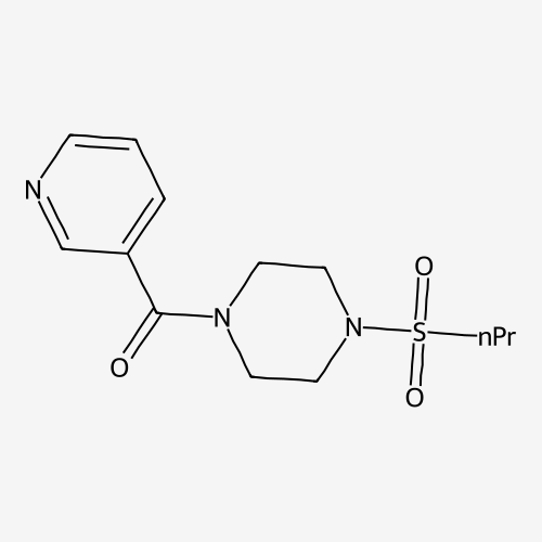 [CH2]CCS(=O)(=O)N1CCN(C(=O)c2cccnc2)CC1